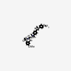 COc1ccc(N2C(=O)CS/C2=N\C(=O)N/C(C)=C(\C)c2ccc(-c3ncn(-c4ccc(OC(F)(F)F)cc4)n3)cc2)c(C(C)C)c1